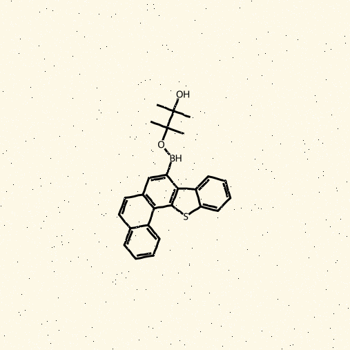 CC(C)(O)C(C)(C)OBc1cc2ccc3ccccc3c2c2sc3ccccc3c12